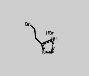 Br.BrCCc1ncc[nH]1